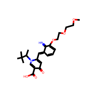 COCCOCCOC1=CC=C/C(=C\c2cc(=O)c(C(=O)O)cn2C(C)C(C)(C)C)C1=N